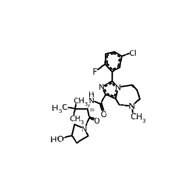 CN1CCCn2c(-c3cc(Cl)ccc3F)nc(C(=O)N[C@H](C(=O)N3CCC(O)C3)C(C)(C)C)c2C1